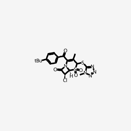 CC1=C(C(=O)c2ccc(C(C)(C)C)cc2)N2C(=O)[C@H](Cl)[C@@H]2S(=O)(=O)C1Sc1nnnn1C